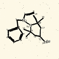 C=CN(Cc1ccccc1)N1C(C)(C)CC(CCCC)CC1(C)C